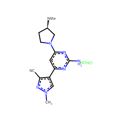 CN[C@@H]1CCN(c2cc(-c3cn(C)nc3C#N)nc(N)n2)C1.Cl.Cl